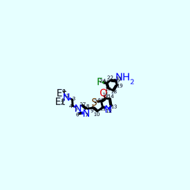 CCN(CC)CCn1cnc(-c2cc3nccc(Oc4ccc(N)cc4F)c3s2)c1